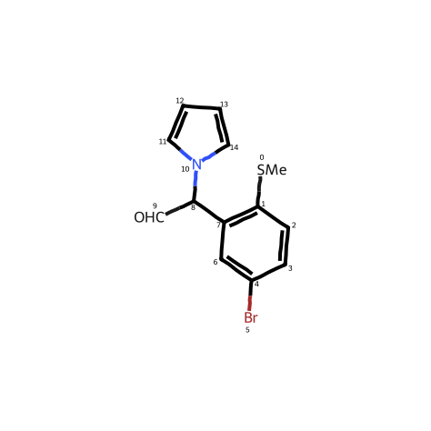 CSc1ccc(Br)cc1C(C=O)n1cccc1